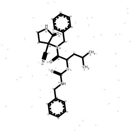 CC(C)CC(OC(=O)NCc1ccccc1)C(=O)N(Cc1ccccc1)C1(C#N)CCNC1=O